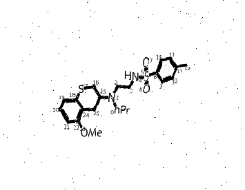 CCCN(CCNS(=O)(=O)c1ccc(C)cc1)C1CSc2cccc(OC)c2C1